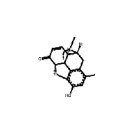 Cc1cc(O)c2c3c1C[C@@H]1[C@@H]4C=CC(=O)[C@H](O2)[C@]34CCN1C